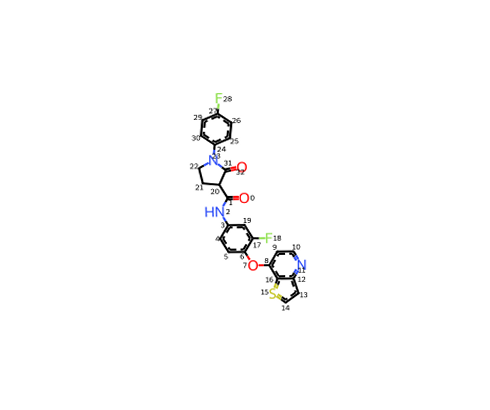 O=C(Nc1ccc(Oc2ccnc3ccsc23)c(F)c1)C1CCN(c2ccc(F)cc2)C1=O